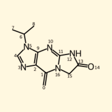 C=C1c2ncn(C(C)C)c2N=C2NC(=O)CN12